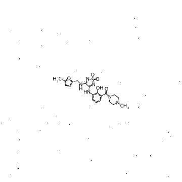 Cc1ccc(CNC2=NS(=O)(=O)N=C2Nc2cccc(C(=O)N3CCN(C)CC3)c2O)o1